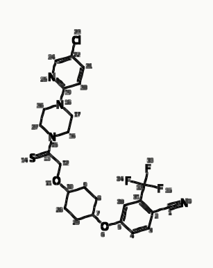 N#Cc1ccc(OC2CCC(OCC(=S)N3CCN(c4ccc(Cl)cn4)CC3)CC2)cc1C(F)(F)F